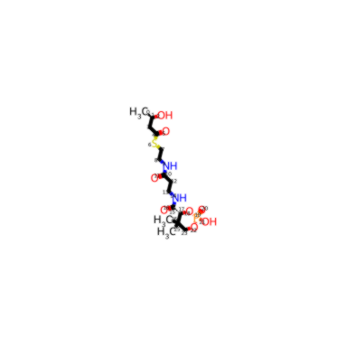 C[C@@H](O)CC(=O)SCCNC(=O)CCNC(=O)[C@@H]1OP(=O)(O)OCC1(C)C